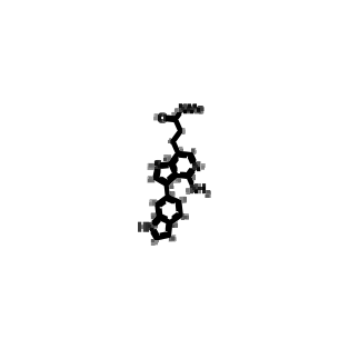 CNC(=O)CCc1cnc(N)c2c(-c3ccc4cc[nH]c4c3)csc12